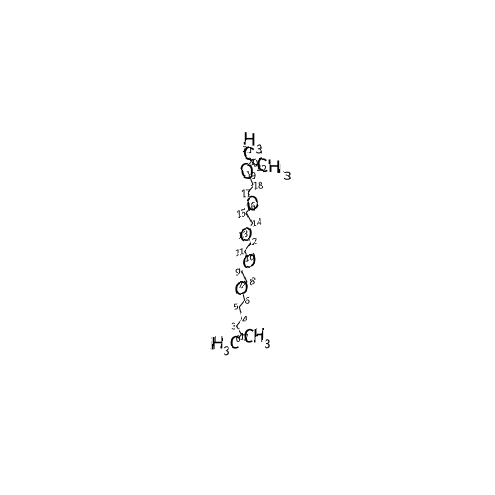 CC(C)CCCCOCCOCCOCCOCCOC(C)C